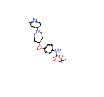 CC(C)(C)OC(=O)Nc1ccc(OC2CCN(c3ccncc3)CC2)cc1